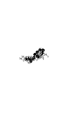 COC(=O)N[C@H](C(=O)N1CCC[C@H]1c1nc2ccc(C3CCC(c4ccc(-c5cnc(C6CCCN6C(=O)OC(C)(C)C)[nH]5)cc4)N3c3ccc(C(C)(C)C)cc3)cc2[nH]1)C(C)C